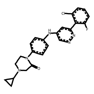 O=C1CN(C2CC2)CCN1c1ccc(Nc2cnnc(-c3c(F)cccc3Cl)c2)cc1